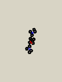 c1ccc2c(c1)-c1ccccc1C21c2cc(-c3ccc4c(c3)c3ccccc3n4-c3cccc4ccccc34)ccc2-c2ccc(-c3ccc4c(c3)c3ccccc3n4-c3cccc4ccccc34)cc21